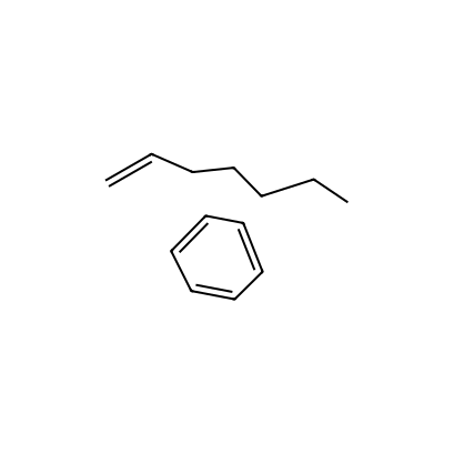 C=CCCCCC.c1ccccc1